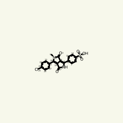 CN1C(=O)C2=C(c3ccc(S(=O)(=O)O)cc3)NC(=O)C2=C1c1ccc(Cl)cc1